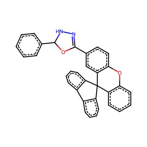 c1ccc(C2NN=C(c3ccc4c(c3)C3(c5ccccc5O4)c4ccccc4-c4ccccc43)O2)cc1